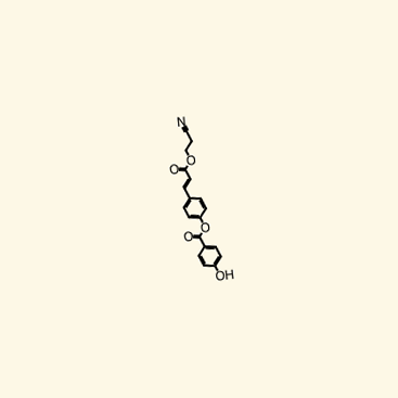 N#CCCOC(=O)/C=C/c1ccc(OC(=O)c2ccc(O)cc2)cc1